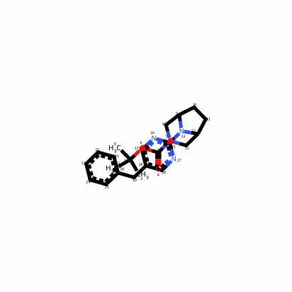 CC(C)(C)OC(=O)N1CC2CCC(C1)N2c1ncc(Cc2ccccc2)cn1